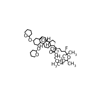 CCOC(=O)[C@H](CC[C@H](F)C(C)(C)OC(C)OCC)[C@H]1CC[C@H]2[C@@H]3CC=C4C[C@@H](OC5CCCCO5)C[C@H](OC5CCCCO5)[C@]4(C)[C@H]3CC[C@]12C